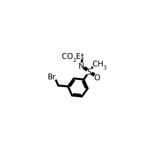 CCOC(=O)N=S(C)(=O)c1cccc(CBr)c1